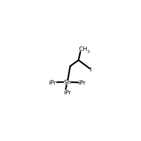 CC(I)[CH2][Sn]([CH](C)C)([CH](C)C)[CH](C)C